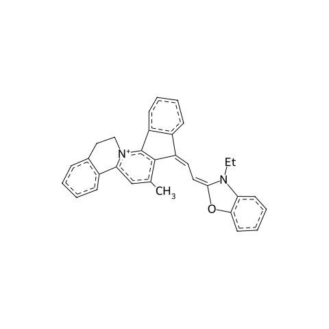 CCN1C(=CC=C2c3ccccc3-c3c2c(C)cc2[n+]3CCc3ccccc3-2)Oc2ccccc21